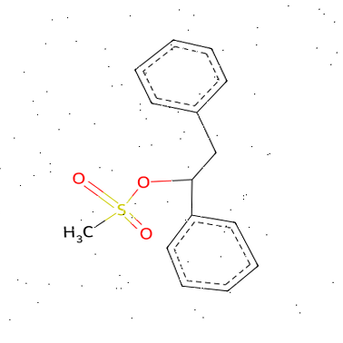 CS(=O)(=O)OC(Cc1ccccc1)c1ccccc1